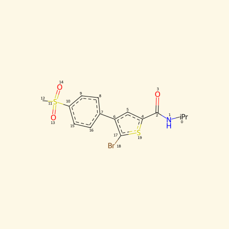 CC(C)NC(=O)c1cc(-c2ccc(S(C)(=O)=O)cc2)c(Br)s1